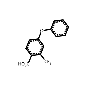 O=C(O)c1ccc(Oc2ccccc2)cc1C(F)(F)F